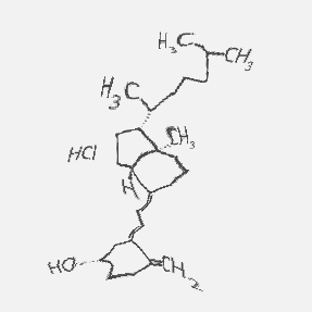 C=C1CC[C@H](O)C/C1=C\C=C1/CCC[C@]2(C)[C@@H](C(C)CCCC(C)C)CC[C@@H]12.Cl